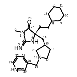 CN1C(=N)N[C@@](CCC2CCCCC2)(C[C@H]2CCN(Cc3cccnc3)C2)C1=O